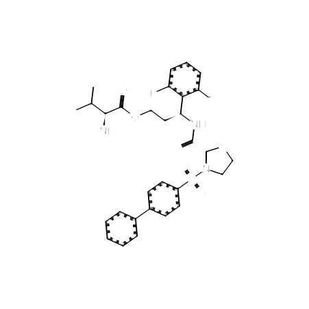 CC(C)[C@H](N)C(=O)OCC[C@H](NC(=O)[C@@H]1SCCN1S(=O)(=O)c1ccc(-c2ccccc2)cc1)c1c(F)cccc1F